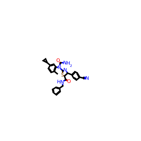 Cc1ccc(C2CC2)cc1N(C(N)=O)C1=NC(c2ccc(C#N)cc2)C(C(=O)NCc2ccccc2)S1